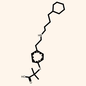 CC(C)(Sc1ccc(CCNCCCCC2CCCCC2)cc1)C(=O)O